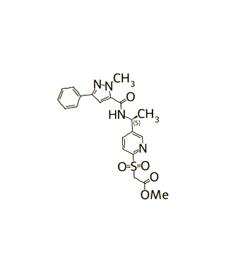 COC(=O)CS(=O)(=O)c1ccc([C@H](C)NC(=O)c2cc(-c3ccccc3)nn2C)cn1